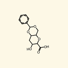 O=C(O)C1OC2COC(c3ccccc3)OC2CC1O